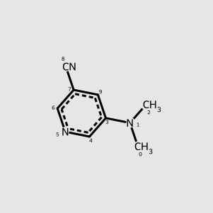 CN(C)c1cncc(C#N)c1